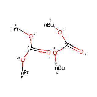 CCCCOC(=O)OCCCC.CCCOC(=O)OCCC